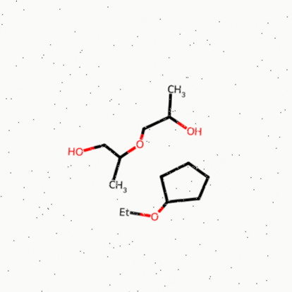 CC(O)COC(C)CO.CCOC1CCCC1